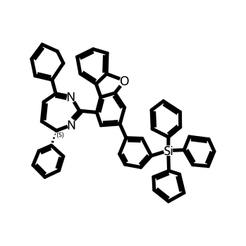 C1=CCCC(C2=NC(c3cc(-c4cccc([Si](c5ccccc5)(c5ccccc5)c5ccccc5)c4)cc4oc5ccccc5c34)=N[C@H](c3ccccc3)C=C2)=C1